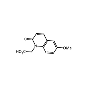 COc1ccc2c(ccc(=O)n2CC(=O)O)c1